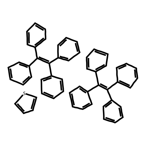 c1ccc(C(=C(c2ccccc2)c2ccccc2)c2ccccc2)cc1.c1ccc(C(=C(c2ccccc2)c2ccccc2)c2ccccc2)cc1.c1ccsc1